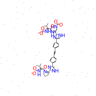 COC(=O)NC[C@H](NC(=O)[C@@H](NC(=O)OC)C(C)C)c1nc(-c2ccc(C#Cc3ccc(-c4c[nH]c([C@@H]5CCCN5C(=O)[C@@H](NC(=O)OC)C(C)C)n4)cc3)cc2)c[nH]1